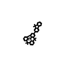 CC1(C)c2ccccc2-c2ccc(-c3cc4c5c(c3)c3cccc6c3n5-c3c(cccc3C4(C)C)C6(C)C)cc21